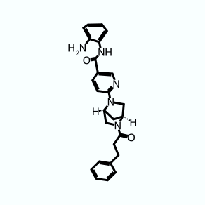 Nc1ccccc1NC(=O)c1ccc(N2C[C@@H]3C[C@H]2CN3C(=O)CCc2ccccc2)nc1